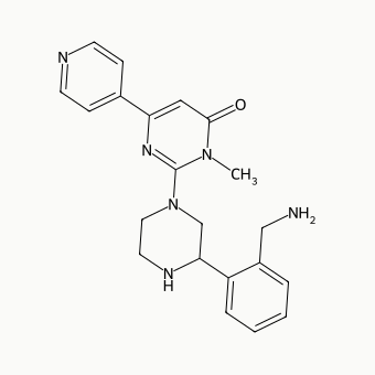 Cn1c(N2CCNC(c3ccccc3CN)C2)nc(-c2ccncc2)cc1=O